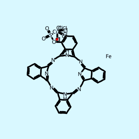 O=[S](=O)(Oc1cccc2c3nc4nc(nc5[nH]c(nc6nc(nc([nH]3)c12)-c1ccccc1-6)c1ccccc51)-c1ccccc1-4)[Cu]([Cl])([Cl])([Cl])([Cl])([Cl])([Cl])([Cl])[Cl].[Fe]